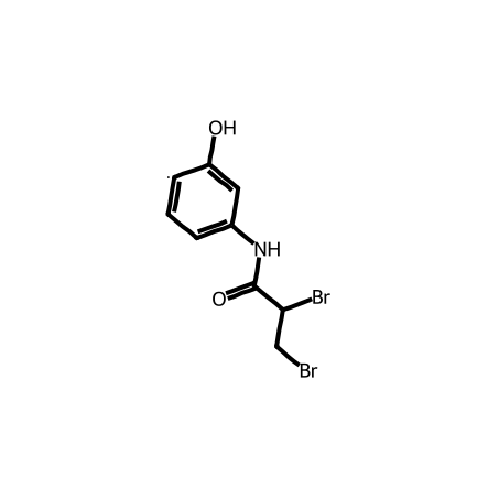 O=C(Nc1cc[c]c(O)c1)C(Br)CBr